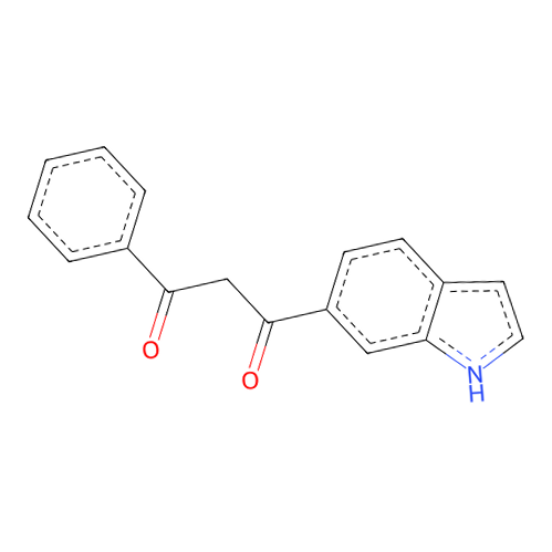 O=C(CC(=O)c1ccc2cc[nH]c2c1)c1ccccc1